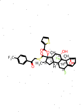 C[C@@H]1C[C@H]2[C@@H]3C[C@H](F)C4=CC5C=C(O5)[C@]4(C)[C@@]3(F)[C@@H](O)C[C@]2(C)[C@@]1(OC(=O)c1cccs1)C(=O)SCC(=O)c1ccc(C(F)(F)F)cc1